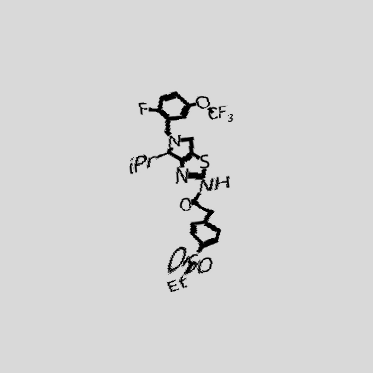 CCS(=O)(=O)c1ccc(CC(=O)Nc2nc3c(s2)CN(Cc2cc(OC(F)(F)F)ccc2F)[C@@H]3C(C)C)cc1